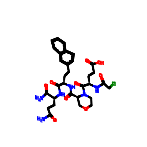 NC(=O)CC[C@H](NC(=O)[C@H](CCc1ccc2ccccc2c1)NC(=O)[C@@H]1COCCN1C(=O)[C@H](CCC(=O)O)NC(=O)CCl)C(N)=O